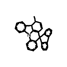 CC1C=CC2=C3C1c1ccccc1N3c1ccccc1C21c2ccccc2-c2ccccc21